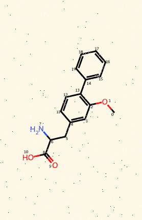 COc1cc(CC(N)C(=O)O)ccc1-c1ccccc1